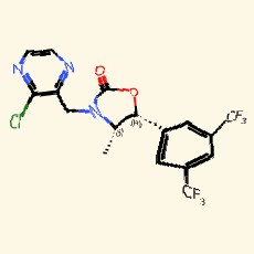 C[C@H]1[C@@H](c2cc(C(F)(F)F)cc(C(F)(F)F)c2)OC(=O)N1Cc1nccnc1Cl